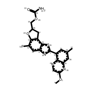 COc1cnc2c(-c3nc4cc(F)c5c(c4s3)CC(COC(N)=O)O5)cc(C)cc2n1